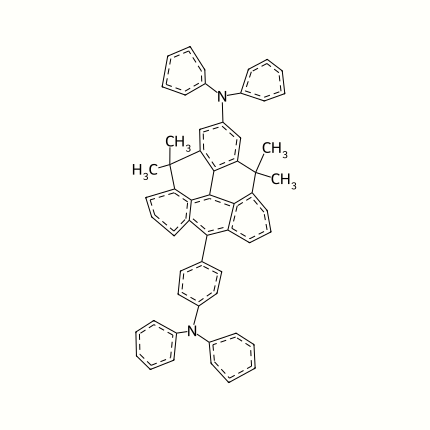 CC1(C)c2cc(N(c3ccccc3)c3ccccc3)cc3c2-c2c4c1cccc4c(-c1ccc(N(c4ccccc4)c4ccccc4)cc1)c1cccc(c21)C3(C)C